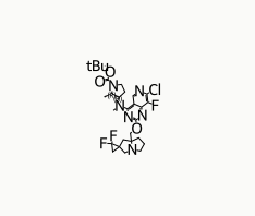 C[C@@H]1[C@H](N(C)c2nc(OCC34CCCN3CC3(C4)CC3(F)F)nc3c(F)c(Cl)ncc23)CCN1C(=O)OC(C)(C)C